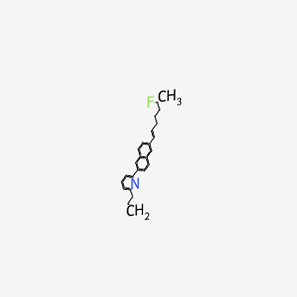 C=CCc1cccc(-c2ccc3cc(/C=C/CCCC(C)F)ccc3c2)n1